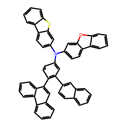 c1ccc2cc(-c3cc(N(c4ccc5c(c4)oc4ccccc45)c4ccc5c(c4)sc4ccccc45)ccc3-c3cc4ccccc4c4ccccc34)ccc2c1